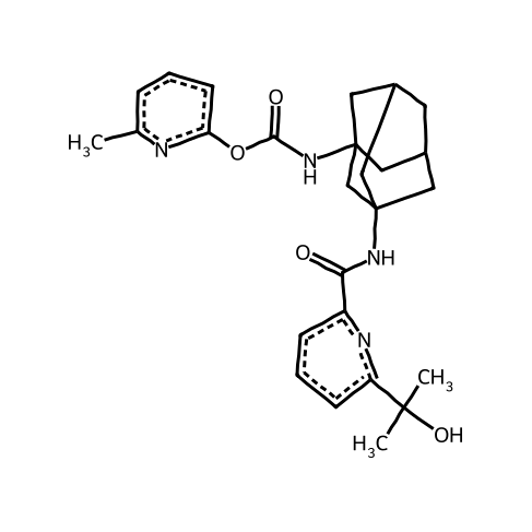 Cc1cccc(OC(=O)NC23CC4CC(C2)CC(NC(=O)c2cccc(C(C)(C)O)n2)(C4)C3)n1